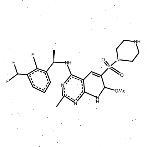 COC1Nc2nc(C)nc(N[C@H](C)c3cccc(C(F)F)c3F)c2C=C1S(=O)(=O)N1CCNCC1